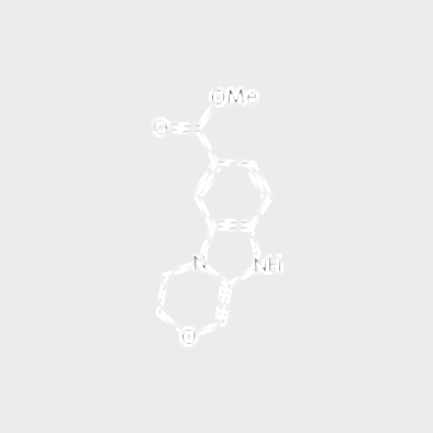 COC(=O)c1ccc2c(c1)N1CCOC=C1N2